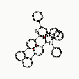 c1ccc(-c2cc(-c3ccccc3)nc(-c3ccc(-c4cccc5cccc(-c6ccc(-c7nc8ccccc8n7-c7ccccc7)cc6)c45)cc3)n2)cc1